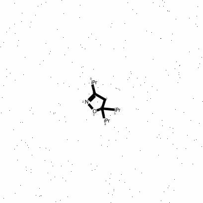 CC(C)C1=NOC(C(C)C)(C(C)C)C1